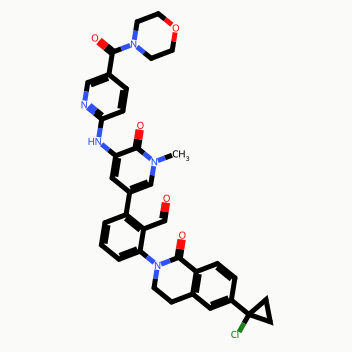 Cn1cc(-c2cccc(N3CCc4cc(C5(Cl)CC5)ccc4C3=O)c2C=O)cc(Nc2ccc(C(=O)N3CCOCC3)cn2)c1=O